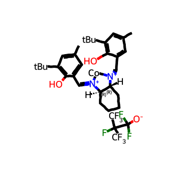 Cc1cc(C=[N+]2[Co][N+](=Cc3cc(C)cc(C(C)(C)C)c3O)[C@@H]3CCCC[C@H]32)c(O)c(C(C)(C)C)c1.[O-]C(F)(F)C(F)(C(F)(F)F)C(F)(F)F